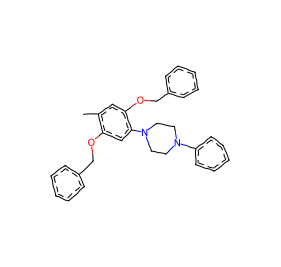 Cc1cc(OCc2ccccc2)c(N2CCN(c3ccccc3)CC2)cc1OCc1ccccc1